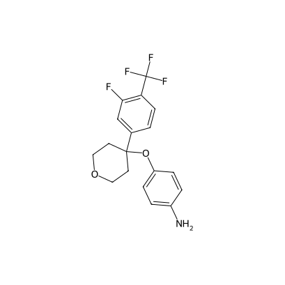 Nc1ccc(OC2(c3ccc(C(F)(F)F)c(F)c3)CCOCC2)cc1